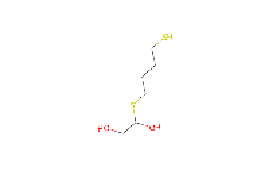 OCC(O)SCCCCS